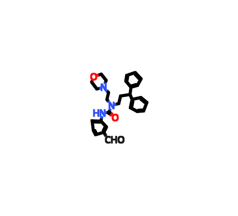 O=Cc1cccc(NC(=O)N(CCC(c2ccccc2)c2ccccc2)CCN2CCOCC2)c1